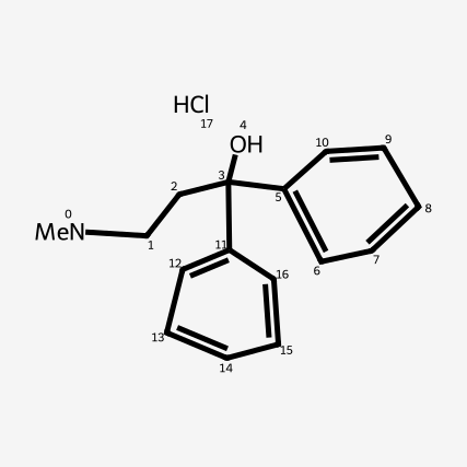 CNCCC(O)(c1ccccc1)c1ccccc1.Cl